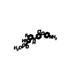 CCOC(=O)c1cc2c(Nc3ccc(Oc4ccc(N)cc4)c(Cl)c3)ccc(F)c2[nH]1